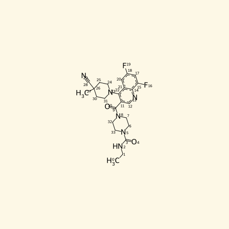 CCNC(=O)N1CCN(C(=O)c2cnc3c(F)cc(F)cc3c2N2CCC(C)(C#N)CC2)CC1